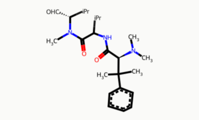 CC(C)C(NC(=O)[C@@H](N(C)C)C(C)(C)c1ccccc1)C(=O)N(C)[C@H](C=O)C(C)C